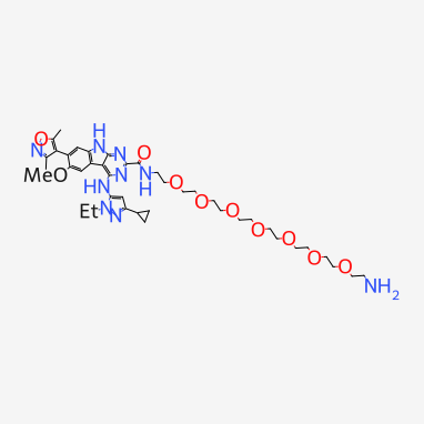 CCn1nc(C2CC2)cc1Nc1nc(C(=O)NCCOCCOCCOCCOCCOCCOCCOCCN)nc2[nH]c3cc(-c4c(C)noc4C)c(OC)cc3c12